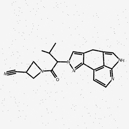 CC(C)C(C(=O)N1CC(C#N)C1)n1cc2c(n1)-c1ccnc3[nH]cc(c13)C2